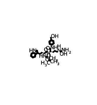 CC(C)(C)OC(=O)N[C@@H](CCc1c[nH]c2ccccc12)C(=O)N[C@@H](CCCNC(N)O)C(=O)Nc1ccc(CO)cc1